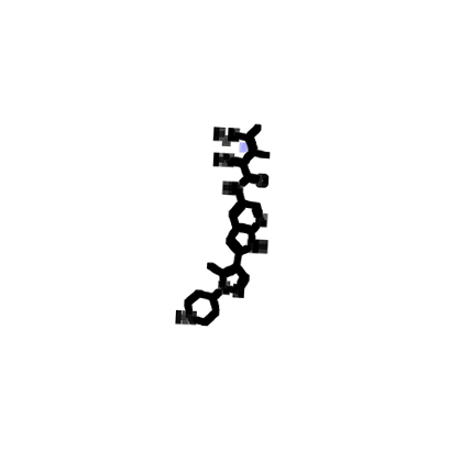 C/C(N)=C(\C)C(=N)C(=O)Nc1cnc2[nH]c(-c3cnn(C4CCNCC4)c3C)cc2c1